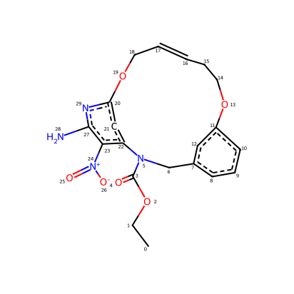 CCOC(=O)N1Cc2cccc(c2)OCC/C=C/COc2cc1c([N+](=O)[O-])c(N)n2